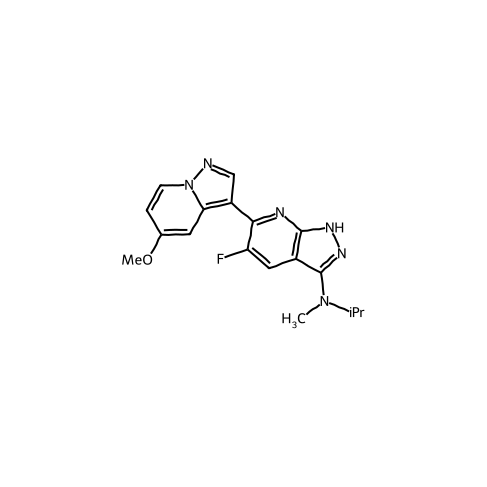 COc1ccn2ncc(-c3nc4[nH]nc(N(C)C(C)C)c4cc3F)c2c1